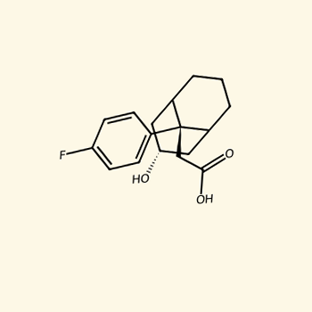 O=C(O)C[C@]1(c2ccc(F)cc2)C2CCCC1C[C@@H](O)C2